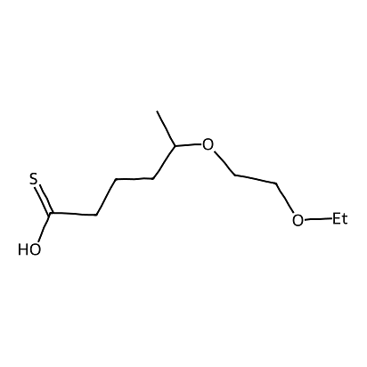 CCOCCOC(C)CCCC(O)=S